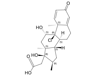 C[C@@H]1C[C@H]2[C@@H]3CCC4=CC(=O)C=C[C@]4(C)[C@@]3(Cl)[C@@H](O)C[C@]2(C)[C@@]1(O)CC(=O)O